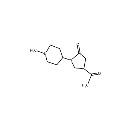 CC(=O)C1CC(=O)N(C2CCN(C)CC2)C1